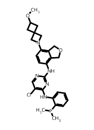 COC1CC2(C1)CN(c1ccc(Nc3ncc(Cl)c(Nc4ccccc4P(C)C)n3)c3c1COC3)C2